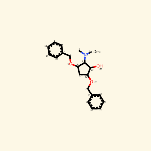 CCCCCCCCCCN(C)C1C(OCc2ccccc2)CC(OCc2ccccc2)C1O